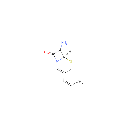 C/C=C\C1=CN2C(=O)C(N)[C@H]2SC1